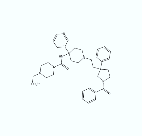 CCOC(=O)CN1CCN(C(=O)NC2(c3cccnc3)CCN(CCC3(c4ccccc4)CCN(C(=O)c4ccccc4)C3)CC2)CC1